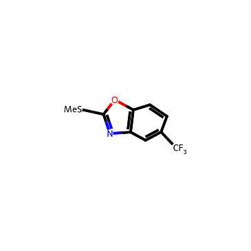 CSc1nc2cc(C(F)(F)F)ccc2o1